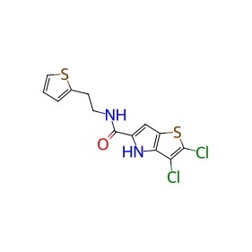 O=C(NCCc1cccs1)c1cc2sc(Cl)c(Cl)c2[nH]1